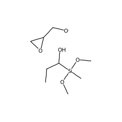 CCC(O)[Si](C)(OC)OC.[O]CC1CO1